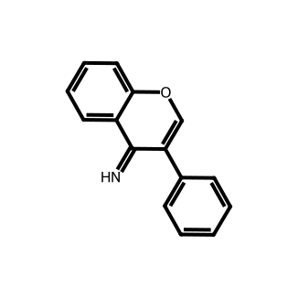 N=c1c(-c2ccccc2)coc2ccccc12